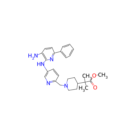 COC(=O)C(C)(C)C1CCN(Cc2ccc(Nc3nc(-c4ccccc4)ccc3N)cn2)CC1